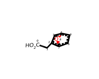 O=C(O)Cc1cc2ccc1o2